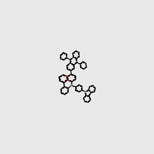 c1ccc(-c2ccccc2N(c2ccc(-c3ccc4c(-c5ccccc5)c5ccccc5c(-c5ccccc5)c4c3)cc2)c2ccc(-n3c4ccccc4c4ccccc43)cc2)cc1